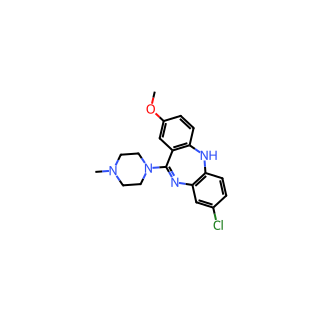 COc1ccc2c(c1)C(N1CCN(C)CC1)=Nc1cc(Cl)ccc1N2